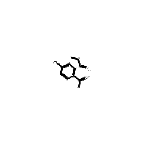 CC(=O)c1ccc(Cl)cc1.CCC=O